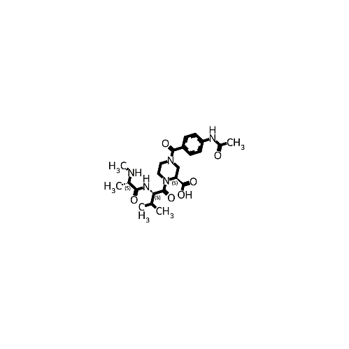 CN[C@@H](C)C(=O)N[C@H](C(=O)N1CCN(C(=O)c2ccc(NC(C)=O)cc2)C[C@H]1C(=O)O)C(C)C